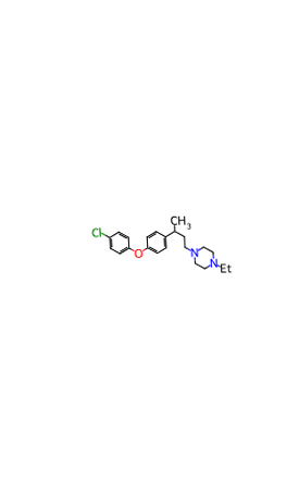 CCN1CCN(CCC(C)c2ccc(Oc3ccc(Cl)cc3)cc2)CC1